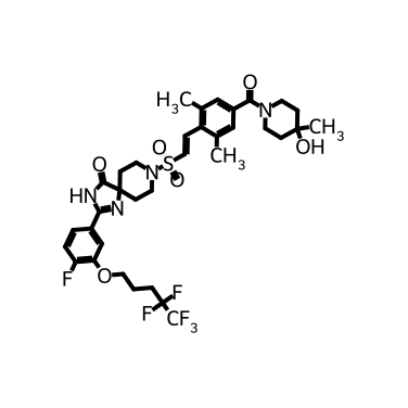 Cc1cc(C(=O)N2CCC(C)(O)CC2)cc(C)c1/C=C/S(=O)(=O)N1CCC2(CC1)N=C(c1ccc(F)c(OCCCC(F)(F)C(F)(F)F)c1)NC2=O